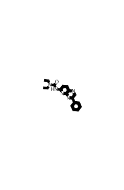 CCN(CC)C(=O)Nc1ccc2ncc(-c3ccccc3)nc2n1